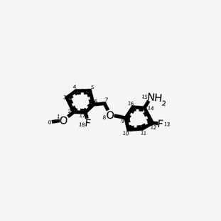 COc1cccc(COc2ccc(F)c(N)c2)c1F